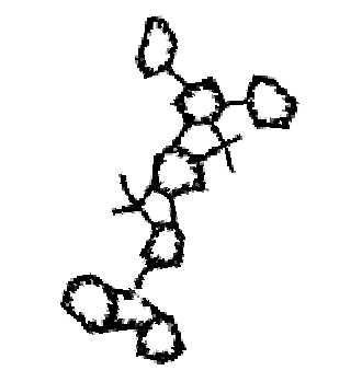 CC1(C)c2cc(-n3c4ccccc4c4ccccc43)ccc2-c2cc3c(cc21)-c1cc(-c2ccccc2)cc(-c2ccccc2)c1C3(C)C